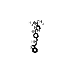 CN(C)c1ccnc(NC2CCC(CNCc3csc4ccccc34)CC2)n1